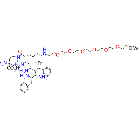 COCCOCCOCCOCCOCCOCCOCCNCCCC[C@@H](C(=O)N1CCC(N)(C(=O)O)CC1)C(N)[C@H](CC(C)C)C(N)[C@@H](Cc1ccccc1)C(N)[C@H](N)Cc1ccccc1